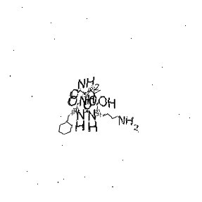 CC[C@@H](C)[C@H](NC(=O)[C@@H](CC1CCCCC1)NC(=O)N[C@@H](CCCCN)C(=O)O)C(N)=O